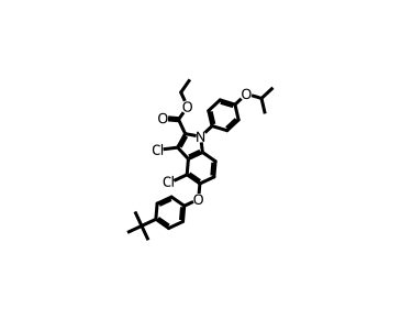 CCOC(=O)c1c(Cl)c2c(Cl)c(Oc3ccc(C(C)(C)C)cc3)ccc2n1-c1ccc(OC(C)C)cc1